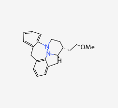 COCC[C@H]1CCN2c3ccccc3Cc3cccc4c3N2[C@H]1C4